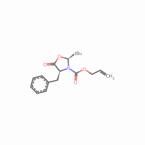 C=CCOC(=O)N1[C@H](C(C)(C)C)OC(=O)[C@@H]1Cc1ccccc1